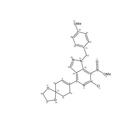 COC(=O)c1c(Cl)nc(C2=CCC3(CC2)OCCO3)c2cnn(Cc3ccc(OC)cc3)c12